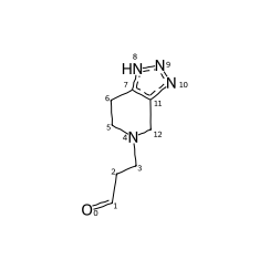 O=CCCN1CCc2[nH]nnc2C1